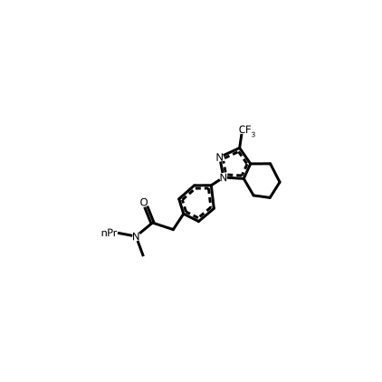 CCCN(C)C(=O)Cc1ccc(-n2nc(C(F)(F)F)c3c2CCCC3)cc1